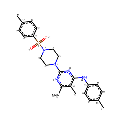 CNc1nc(N2CCN(S(=O)(=O)c3ccc(C)cc3)CC2)nc(Nc2ccc(C)cc2)c1C